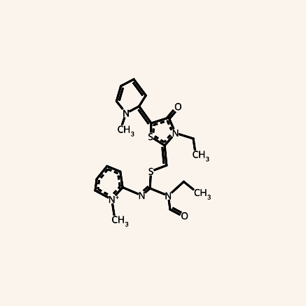 CCN(C=O)/C(=N/c1cccc[n+]1C)S/C=c1\s/c(=C2/C=CC=CN2C)c(=O)n1CC